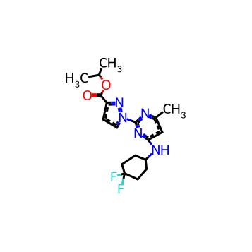 Cc1cc(NC2CCC(F)(F)CC2)nc(-n2ccc(C(=O)OC(C)C)n2)n1